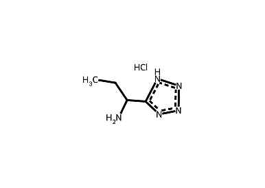 CCC(N)c1nnn[nH]1.Cl